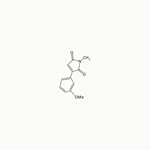 COc1cccc(C2=CC(=O)N(C)C2=O)c1